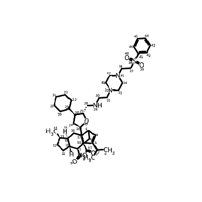 CC(C)C1=CC2CC3(C=O)[C@@H]4CC[C@@H](C)[C@H]4CC2([C@H]2C[C@@H](C4CCCCC4)[C@H](CNCCN4CCN(CCS(=O)(=O)c5ccccc5)CC4)O2)[C@]13C(=O)O